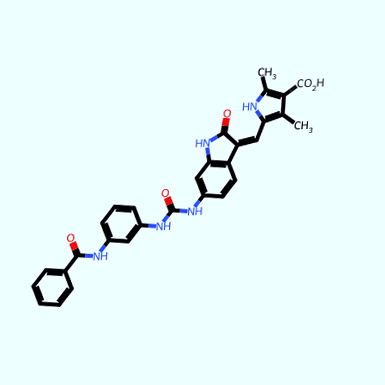 Cc1[nH]c(/C=C2\C(=O)Nc3cc(NC(=O)Nc4cccc(NC(=O)c5ccccc5)c4)ccc32)c(C)c1C(=O)O